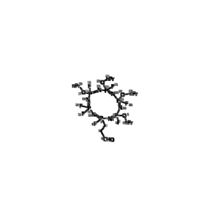 CCCOP1(F)=NP(F)(CCC=O)=NP(F)(F)=NP(F)(OCCC)=NP(F)(OCCC)=NP(F)(OCCC)=N1